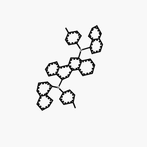 Cc1ccc(N(c2cccc3ccccc23)c2cc3c4ccccc4c(N(c4ccc(C)cc4)c4cccc5ccccc45)cc3c3ccccc23)cc1